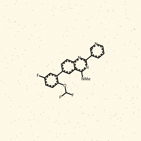 CNc1nc(-c2cccnc2)nc2ccc(-c3cc(F)ccc3OC(F)F)cc12